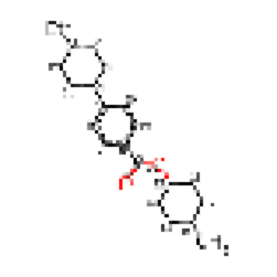 CCC1CCC(c2ccc(C(=O)OC3CCC(C)CC3)cc2)CC1